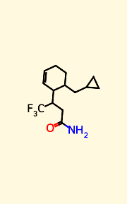 NC(=O)CC(C1C=CCCC1CC1CC1)C(F)(F)F